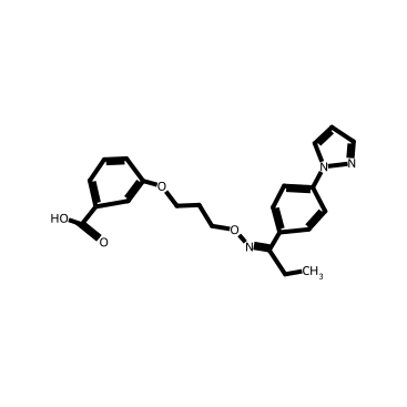 CCC(=NOCCCOc1cccc(C(=O)O)c1)c1ccc(-n2cccn2)cc1